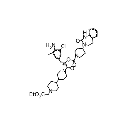 CCOC(=O)CN1CCC(C2CCN(C(=O)[C@@H](Cc3cc(C)c(N)c(Cl)c3)OC(=O)N3CCC(N4CCc5ccccc5NC4=O)CC3)CC2)CC1